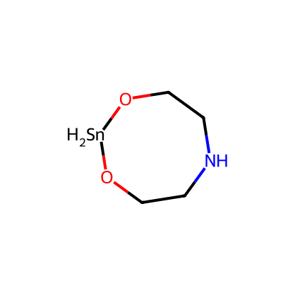 C1C[O][SnH2][O]CCN1